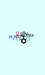 CCCC[C@H](OC(N)=O)[C@@H](OC)c1c(Cl)cccc1Cl